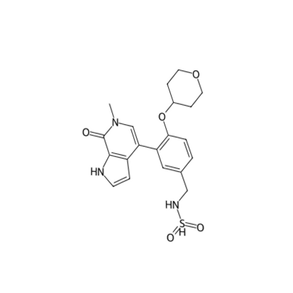 Cn1cc(-c2cc(CN[SH](=O)=O)ccc2OC2CCOCC2)c2cc[nH]c2c1=O